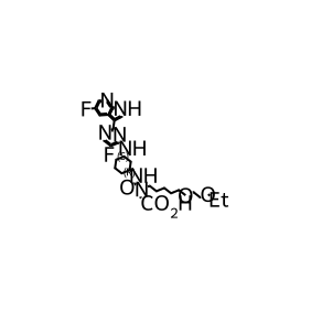 CCOCCOCCCCCN(CC(=O)O)C(=O)N[C@@H]1CCC[C@H](Nc2nc(-c3c[nH]c4ncc(F)cc34)ncc2F)C1